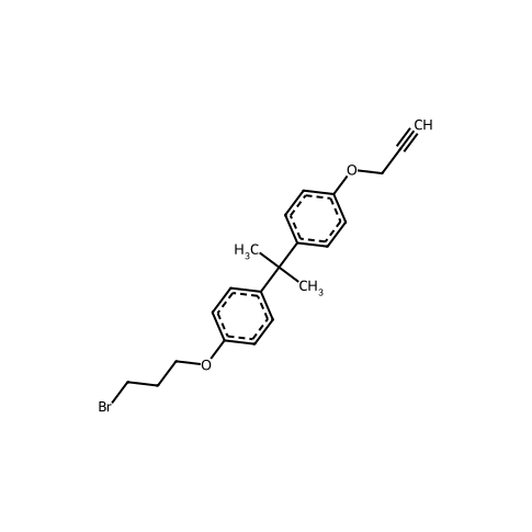 C#CCOc1ccc(C(C)(C)c2ccc(OCCCBr)cc2)cc1